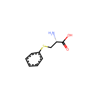 N[C@@H](CSc1ccccc1)C(=O)O